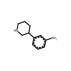 Nc1cccc(C2CCCNC2)c1